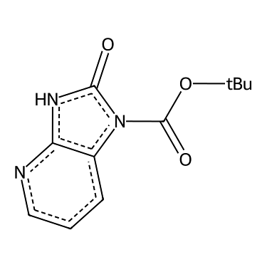 CC(C)(C)OC(=O)n1c(=O)[nH]c2ncccc21